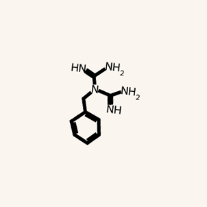 N=C(N)N(Cc1ccccc1)C(=N)N